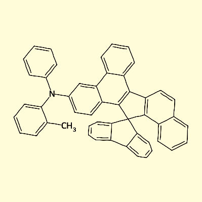 Cc1ccccc1N(c1ccccc1)c1ccc2c3c(c4ccccc4c2c1)-c1ccc2ccccc2c1C31c2ccccc2-c2ccccc21